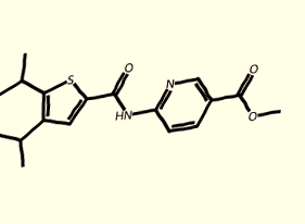 COC(=O)c1ccc(NC(=O)c2cc(C(C)C)c(C(C)C)s2)nc1